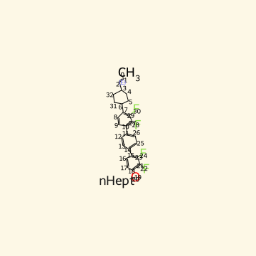 C/C=C/C1CCC(c2ccc(-c3ccc(-c4ccc(OCCCCCCC)c(F)c4F)cc3)c(F)c2F)CC1